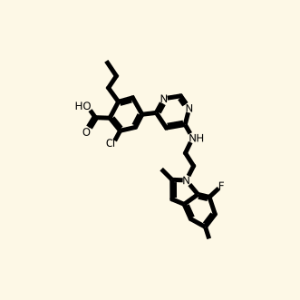 CCCc1cc(-c2cc(NCCn3c(C)cc4cc(C)cc(F)c43)ncn2)cc(Cl)c1C(=O)O